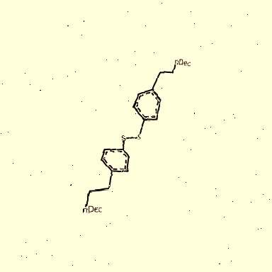 CCCCCCCCCCCCc1ccc(SSc2ccc(CCCCCCCCCCCC)cc2)cc1